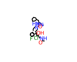 CNCC(CC1CCCCC1)NC(=O)N1CCC[C@@H]([C@@](O)(CCCNC(C)=O)c2cccc(F)c2Cl)C1